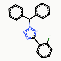 Clc1ccccc1-c1nnn(C(c2ccccc2)c2ccccc2)n1